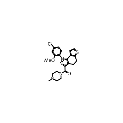 COc1cc(Cl)ccc1-n1nc(C(=O)N2CCN(C)CC2)c2c1-c1ccsc1CC2